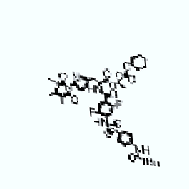 Cc1c(C)n(C)c(=O)n(-c2ccc(C[C@H](NC(=O)c3cc(F)c(NS(=O)(=O)c4ccc(NC(=O)C(C)(C)C)cc4)cc3F)C(=O)OC(C)OC(=O)OC3CCCCC3)cn2)c1=O